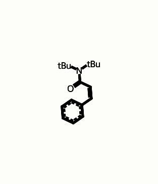 CC(C)(C)N(C(=O)/C=C\c1ccccc1)C(C)(C)C